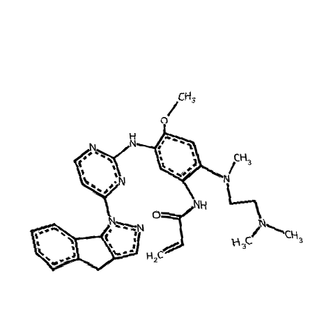 C=CC(=O)Nc1cc(Nc2nccc(-n3ncc4c3-c3ccccc3C4)n2)c(OC)cc1N(C)CCN(C)C